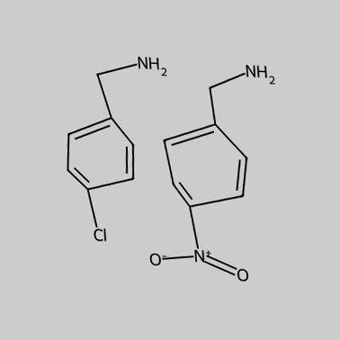 NCc1ccc(Cl)cc1.NCc1ccc([N+](=O)[O-])cc1